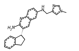 Cn1cnc(CNc2ccc3nc(N)c([C@@H]4CCc5ccccc54)cc3c2)c1